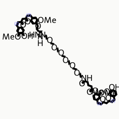 COc1cc(/C=C\C(=O)CC(=O)/C=C\c2ccc(OCC3=CN(CCOCCOCCOCCOCCOCCOCCNC(=O)CCCC(=O)Oc4ccc(/C=C\C(=O)CC(=O)/C=C\c5ccc(O)c(OC)c5)cc4OC)NN3)c(OC)c2)ccc1O